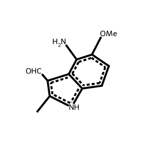 COc1ccc2[nH]c(C)c(C=O)c2c1N